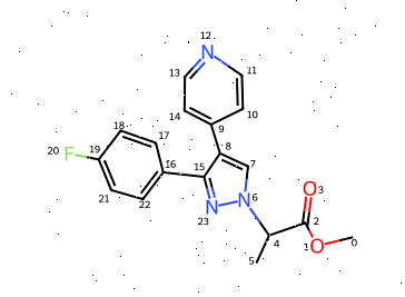 COC(=O)C(C)n1cc(-c2ccncc2)c(-c2ccc(F)cc2)n1